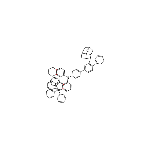 C1=CC2c3c(N(c4ccc(-c5ccc6c(c5)C5(C7=C6CCC=C7)C6CC7CC8CC5C86C7)cc4)c4ccccc4-c4cccc5cccc(C6CCCCC6)c45)cccc3C(c3ccccc3)(c3ccccc3)C2C=C1